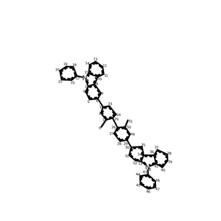 Cc1cc(-c2ccc3c(c2)c2ccccc2n3-c2ccccc2)ccc1-c1ccc(-c2ccc3c(c2)c2ccccc2n3-c2ccccc2)cc1C